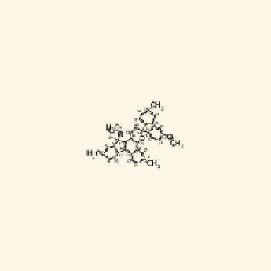 CCC1(OC)c2cc(C)ccc2-c2c1c1c(c3cc(C)ccc23)OC(c2ccc(C)cc2)(c2ccc(OC)cc2)C=C1